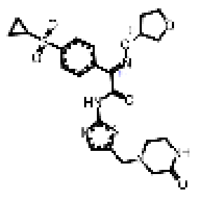 O=C1CN(Cc2cnc(NC(=O)/C(=N/O[C@@H]3CCOC3)c3ccc(S(=O)(=O)C4CC4)cc3)s2)CCN1